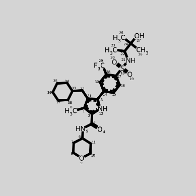 Cc1c(C(=O)NC2CCOCC2)[nH]c(-c2ccc(S(=O)(=O)NC(C)C(C)(C)O)c(C(F)(F)F)c2)c1CC1CCCCC1